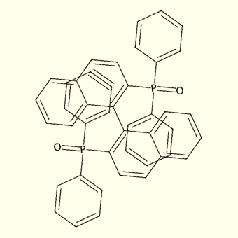 O=P(c1cc#ccc1)(c1ccccc1)c1ccc2ccccc2c1-c1c(P(=O)(c2ccccc2)c2ccccc2)ccc2ccccc12